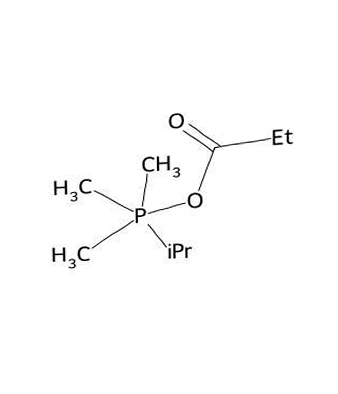 CCC(=O)OP(C)(C)(C)C(C)C